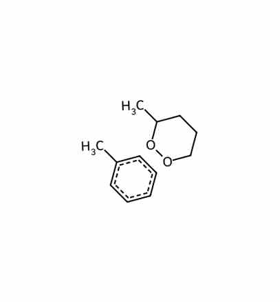 CC1CCCOO1.Cc1ccccc1